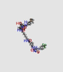 COc1cnc(C(=O)NCc2cccc(CC(=O)NCCCCCCCCC(=O)N[C@H](C(=O)N3C[C@H](O)C[C@H]3C(=O)NCc3ccc(-c4sccc4C)cc3)C(C)(C)C)c2)cc1/C=C/[C@H]1CC[C@H](C(F)(F)F)CC1